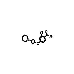 O=C(O)c1ccc(O[C@H]2C[C@H](N3CCCCC3)C2)cc1Cl